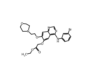 CCOC(=O)COc1cc2c(Nc3cccc(Br)c3)ncnc2cc1OCCN1CCOCC1